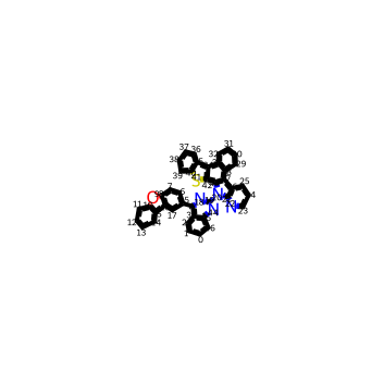 c1ccc2c(-c3ccc4oc5ccccc5c4c3)nc(-n3c4ncccc4c4c5ccccc5c5c6ccccc6sc5c43)nc2c1